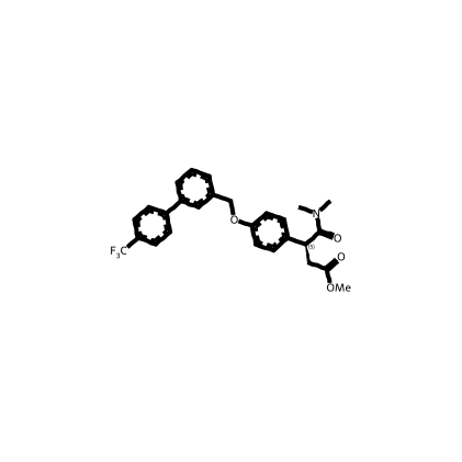 COC(=O)C[C@H](C(=O)N(C)C)c1ccc(OCc2cccc(-c3ccc(C(F)(F)F)cc3)c2)cc1